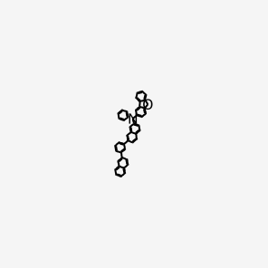 c1ccc(N(c2ccc3ccc(-c4cccc(-c5ccc6ccccc6c5)c4)cc3c2)c2ccc3oc4ccccc4c3c2)cc1